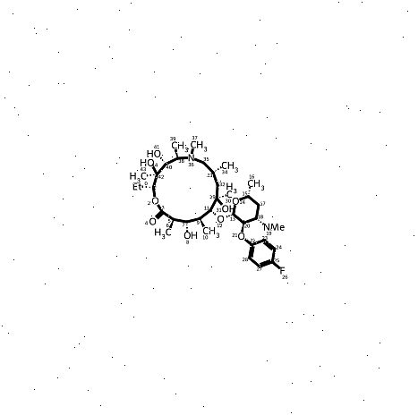 CC[C@H]1OC(=O)[C@H](C)[C@@H](O)[C@H](C)[C@@H](O[C@@H]2O[C@H](C)C[C@H](NC)[C@H]2Oc2ccc(F)cc2)[C@](C)(O)C[C@@H](C)CN(C)[C@H](C)[C@@H](O)[C@]1(C)O